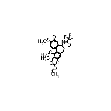 CCOC(=O)Oc1cc2c(c(OC)c1OC)-c1ccc(SC)c(=O)cc1C(NC(=O)C(F)(F)F)CC2